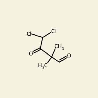 CC(C)(C=O)C(=O)C(Cl)Cl